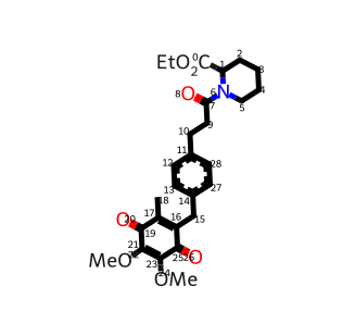 CCOC(=O)C1CCCCN1C(=O)CCc1ccc(CC2=C(C)C(=O)C(OC)=C(OC)C2=O)cc1